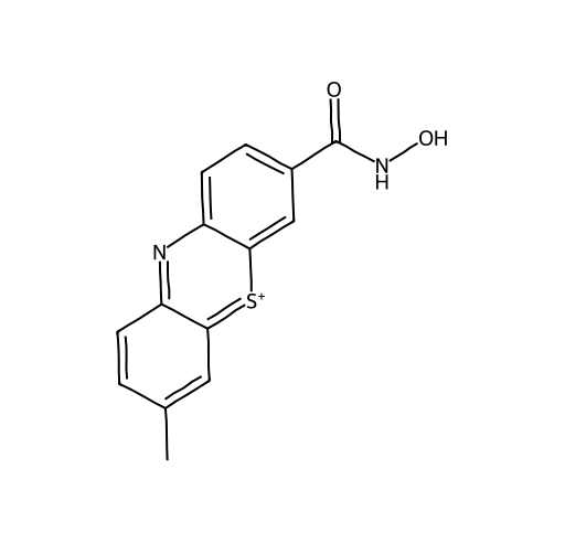 Cc1ccc2nc3ccc(C(=O)NO)cc3[s+]c2c1